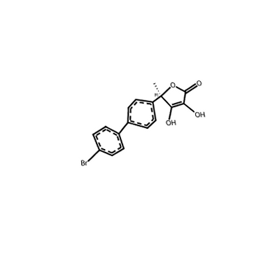 C[C@]1(c2ccc(-c3ccc(Br)cc3)cc2)OC(=O)C(O)=C1O